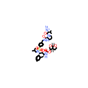 CC(C)CN(C[C@@H](O)[C@H](Cc1ccccc1)NC(=O)OC1CO[C@H]2OCC[C@@H]12)S(=O)(=O)c1ccc(CNC(=O)[C@@H]2CCCN2C(=O)[C@@H](N)C(C)C)cc1